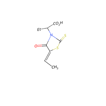 C/C=C1\SC(=S)N(C(CC)C(=O)O)C1=O